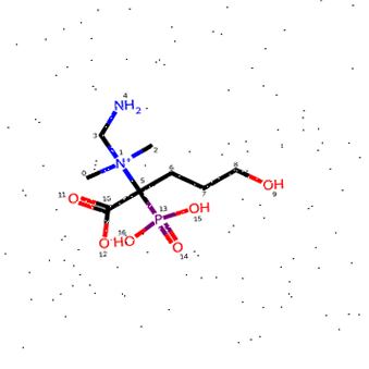 C[N+](C)(CN)C(CCCO)(C(=O)[O-])P(=O)(O)O